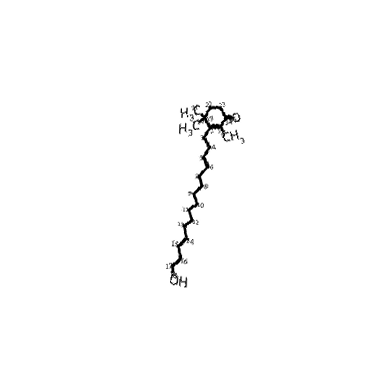 CC1=C(CCCCCCCCCCCCCCCO)C(C)(C)CCC1=O